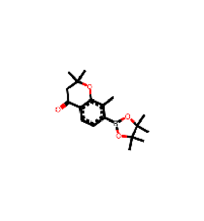 Cc1c(B2OC(C)(C)C(C)(C)O2)ccc2c1OC(C)(C)CC2=O